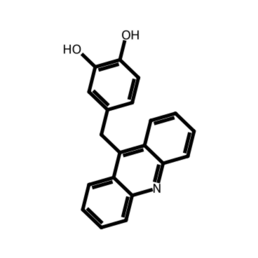 Oc1ccc(Cc2c3ccccc3nc3ccccc23)cc1O